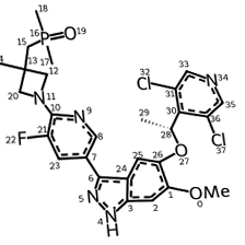 COc1cc2[nH]nc(-c3cnc(N4CC(C)(CP(C)(C)=O)C4)c(F)c3)c2cc1O[C@H](C)c1c(Cl)cncc1Cl